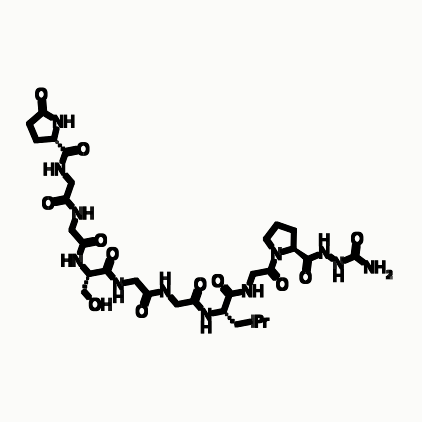 CC(C)C[C@H](NC(=O)CNC(=O)CNC(=O)[C@H](CO)NC(=O)CNC(=O)CNC(=O)[C@@H]1CCC(=O)N1)C(=O)NCC(=O)N1CCC[C@H]1C(=O)NNC(N)=O